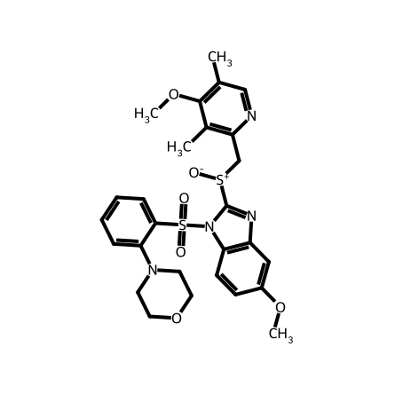 COc1ccc2c(c1)nc([S+]([O-])Cc1ncc(C)c(OC)c1C)n2S(=O)(=O)c1ccccc1N1CCOCC1